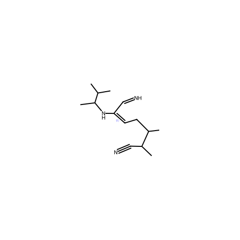 CC(C)C(C)N/C(C=N)=C/CC(C)C(C)C#N